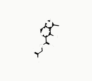 Cc1noc2cnc(C(=O)NCC(=O)O)c(O)c12